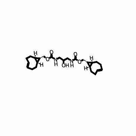 O=C(NCC(O)CNC(=O)OC[C@H]1[C@@H]2CC/C=C/CC[C@@H]21)OC[C@H]1[C@@H]2CC/C=C/CC[C@@H]21